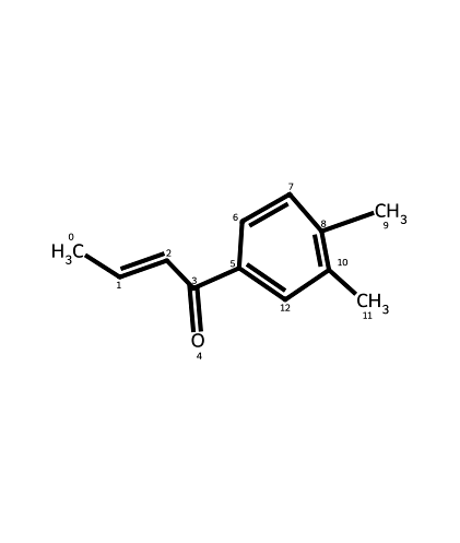 CC=CC(=O)c1ccc(C)c(C)c1